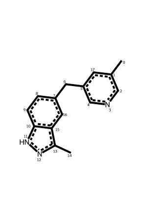 Cc1cncc(Cc2ccc3[nH]nc(C)c3c2)c1